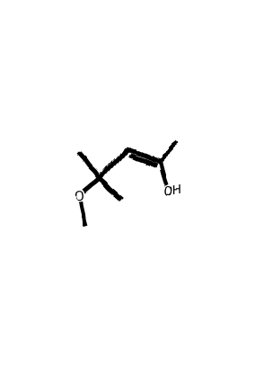 COC(C)(C)/C=C(/C)O